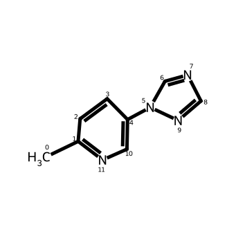 Cc1ccc(-n2cncn2)cn1